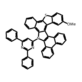 COc1ccc2sc3c4ccccc4c4c(c3c2c1)c1c2ccccc2c2ccccc2c1n4-c1cc(-c2ccccc2)nc(-c2ccccc2)n1